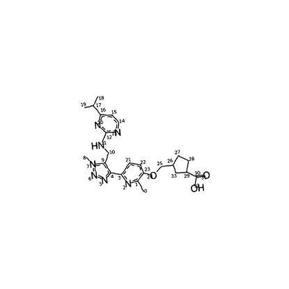 Cc1nc(-c2nnn(C)c2CNc2nccc(C(C)C)n2)ccc1OCC1CCC(C(=O)O)C1